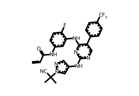 C=CC(=O)Nc1ccc(F)c(Nc2nc(Nc3cnn(C(C)(C)C#N)c3)ncc2-c2ccc(C(F)(F)F)cc2)c1